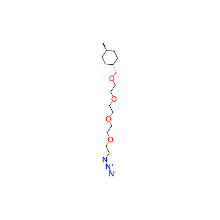 C[C@H]1CC[C@H](COCCOCCOCCOCCN=[N+]=[N-])CC1